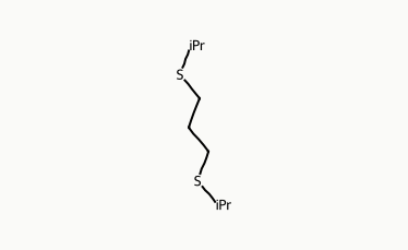 CC(C)SCCCSC(C)C